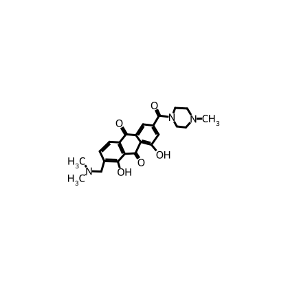 CN(C)Cc1ccc2c(c1O)C(=O)c1c(O)cc(C(=O)N3CCN(C)CC3)cc1C2=O